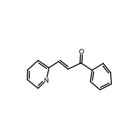 O=C(C=Cc1ccccn1)c1ccccc1